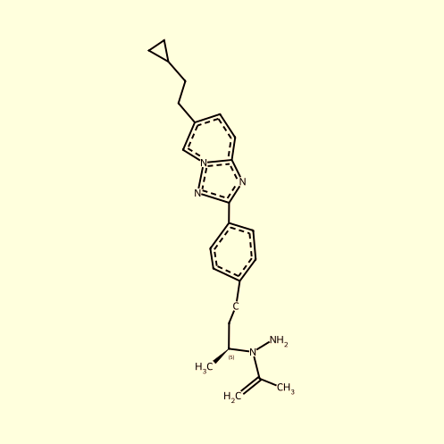 C=C(C)N(N)[C@@H](C)CCc1ccc(-c2nc3ccc(CCC4CC4)cn3n2)cc1